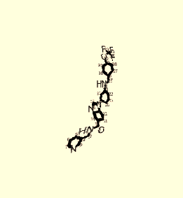 O=C(NCc1cccnc1)c1ccc2c(c1)ncn2-c1cccc(NCc2ccc(OC(F)(F)F)cc2)c1